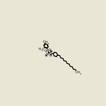 CCCCCCCCCCCCC1CCC(S(=O)(=O)C(=[N+]=[N-])S(=O)(=O)c2ccc(C)cc2C)CC1